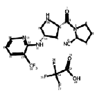 N#C[C@@H]1CCCN1C(=O)[C@@H]1C[C@H](Nc2ncccc2C(F)(F)F)CN1.O=C(O)C(F)(F)F